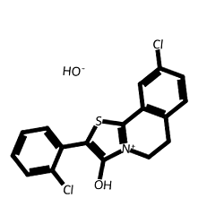 Oc1c(-c2ccccc2Cl)sc2[n+]1CCc1ccc(Cl)cc1-2.[OH-]